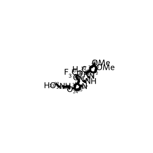 COc1cc2nc(Nc3nc(OC(=O)C(F)(F)F)c4cc(OCCNCCO)ccc4n3)nc(C)c2cc1OC